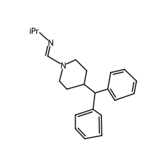 CC(C)/N=C/N1CCC(C(c2ccccc2)c2ccccc2)CC1